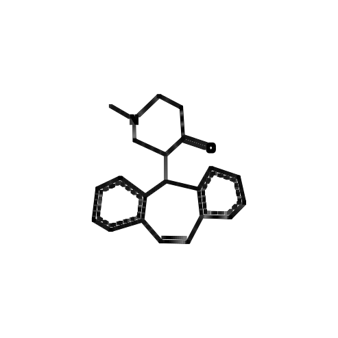 CN1CCC(=O)C(C2c3ccccc3C=Cc3ccccc32)C1